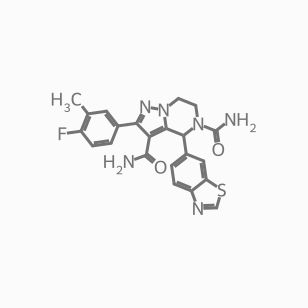 Cc1cc(-c2nn3c(c2C(N)=O)C(c2ccc4ncsc4c2)N(C(N)=O)CC3)ccc1F